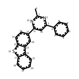 Cc1nc(-c2ccccc2)cc(-c2ccc3sc4ccccc4c3c2)n1